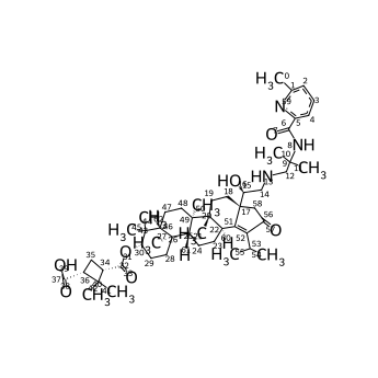 Cc1cccc(C(=O)NC(C)(C)CNC[C@H](O)[C@@]23CC[C@]4(C)[C@H](CC[C@@H]5[C@@]6(C)CC[C@H](OC(=O)[C@H]7C[C@@H](C(=O)O)C7(C)C)C(C)(C)[C@@H]6CC[C@]54C)C2=C(C(C)C)C(=O)C3)n1